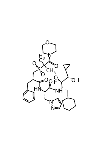 CC(C)(C(=O)N1CCOCC1)S(=O)(=O)C[C@@H](Cc1ccccc1)C(=O)N[C@@H](Cn1cccn1)C(=O)N[C@@H](CC1CCCCC1)[C@@H](O)[C@@H](O)C1CC1